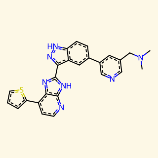 CN(C)Cc1cncc(-c2ccc3[nH]nc(-c4nc5c(-c6cccs6)ccnc5[nH]4)c3c2)c1